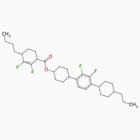 CCCCC1CCC(C(=O)OC2CCC(c3ccc(C4CCC(CCC)CC4)c(F)c3F)CC2)C(F)=C1F